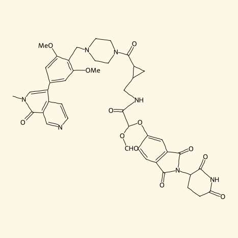 COc1cc(-c2cn(C)c(=O)c3cnccc23)cc(OC)c1CN1CCN(C(=O)C2CC2CNC(=O)C(OC=O)Oc2ccc3c(c2)C(=O)N(C2CCC(=O)NC2=O)C3=O)CC1